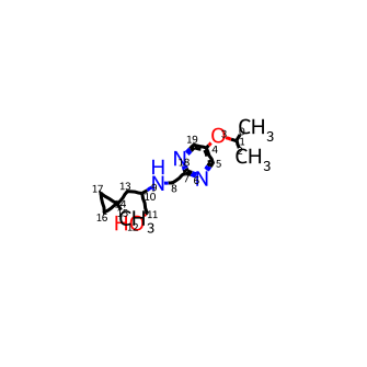 CC(C)Oc1cnc(CNC(CO)CC2(C)CC2)nc1